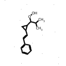 CC(C)C(OO)C1CC1/C=C/c1ccccc1